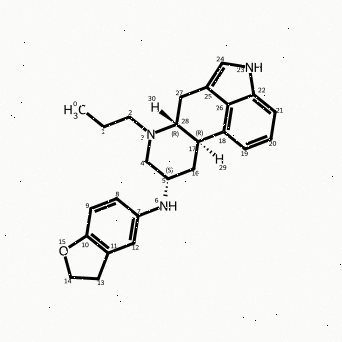 CCCN1C[C@@H](Nc2ccc3c(c2)CCO3)C[C@@H]2c3cccc4[nH]cc(c34)C[C@H]21